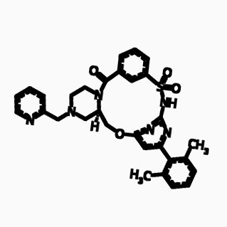 Cc1cccc(C)c1-c1cc2nc(n1)NS(=O)(=O)c1cccc(c1)C(=O)N1CCN(Cc3ccccn3)C[C@@H]1CO2